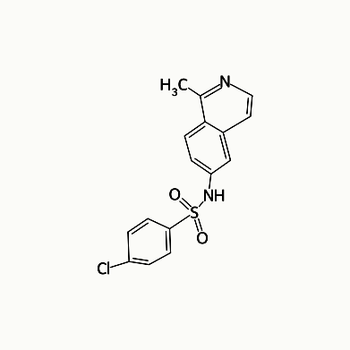 Cc1nccc2cc(NS(=O)(=O)c3ccc(Cl)cc3)ccc12